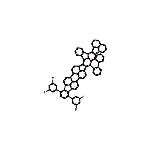 Fc1cc(F)cc(-c2ccc(-c3cc(F)cc(F)c3)c3c2-c2ccc4c5ccc6c7c(-c8ccccc8-c8ccccc8)c8cc9c%10cccc%11cccc(c%11%10)c9c9c%10ccccc%10c(c7c7ccc(c%10ccc-3c2c4%10)c5c67)c89)c1